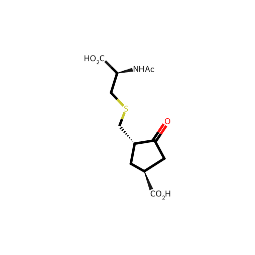 CC(=O)N[C@@H](CSC[C@H]1C[C@H](C(=O)O)CC1=O)C(=O)O